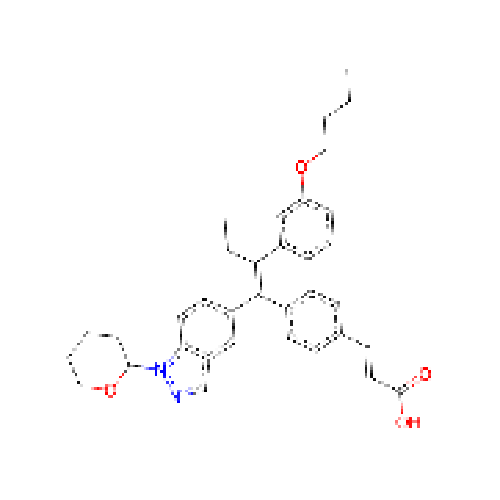 CCCCOc1cccc(/C(CC)=C(\c2ccc(/C=C/C(=O)O)cc2)c2ccc3c(cnn3C3CCCCO3)c2)c1